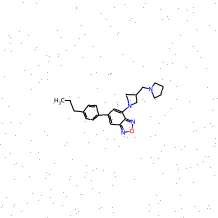 CCCc1ccc(-c2cc(N3CC(CN4CCCC4)C3)c3nonc3c2)cc1